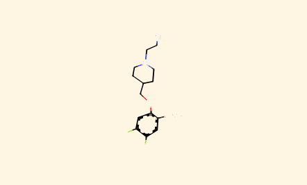 COc1cc(F)c(F)cc1OCC1CCN(CCN)CC1